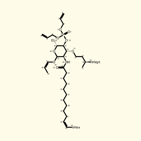 C=CCOP(=O)(OCC=C)O[C@H]1[C@H](OCC[C@H](C)CCCCCCC)[C@@H](NC(=O)CCCCCCCCC/C=C\CCCCCC)C(O/C=C\C)O[C@@H]1CC